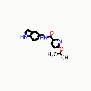 CC(C)Oc1ccc(C(=O)NCc2ccc3[nH]ccc3c2)cn1